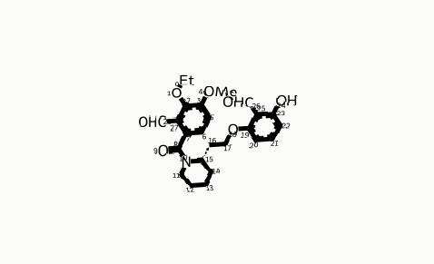 CCOc1c(OC)ccc(C(=O)N2CCCC[C@H]2CCOc2cccc(O)c2C=O)c1C=O